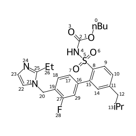 CCCCOC(=O)NS(=O)(=O)c1ccc(CC(C)C)cc1-c1ccc(Cn2ccnc2CC)c(F)c1